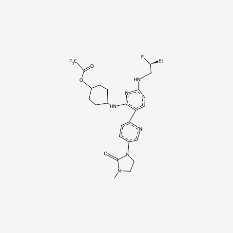 CC[C@H](F)CNc1ncc(-c2ccc(N3CCN(C)C3=O)cn2)c(NC2CCC(OC(=O)C(F)(F)F)CC2)n1